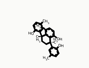 Cc1ccc(O)c([C@@]2(C)CC[C@](C)(c3cc(C)ccc3O)c3c(O)ccc(C)c32)c1